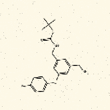 CC(C)(C)OC(=O)NCc1cc(CN)cc(Oc2ccc(F)cc2)c1